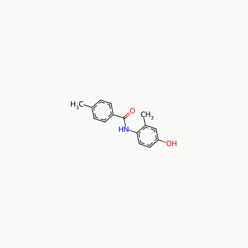 Cc1ccc(C(=O)Nc2ccc(O)cc2C)cc1